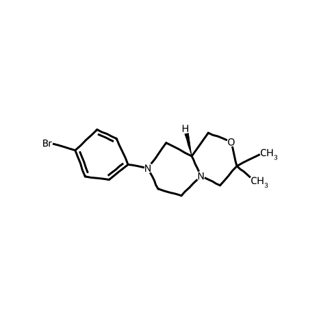 CC1(C)CN2CCN(c3ccc(Br)cc3)C[C@@H]2CO1